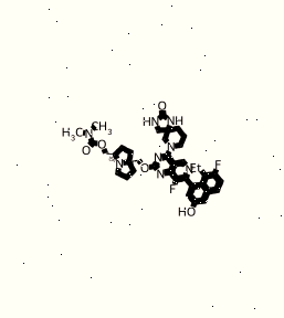 CCc1c(F)ccc2cc(O)cc(-c3ncc4c(N5CCCC6(CNC(=O)N6)C5)nc(OC[C@]56CCCN5[C@H](COC(=O)N(C)C)CC6)nc4c3F)c12